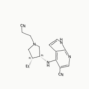 CC[C@@H]1CN(CCC#N)C[C@@H]1Nc1c(C#N)cnc2[nH]ccc12